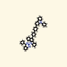 c1ccc(-c2nc(-n3c4ccccc4c4cc(-c5ccc(-c6ccc(-c7ccc8c9ccccc9n(-c9ccccc9)c8c7)cc6)cc5)c5ccccc5c43)nc3ccccc23)cc1